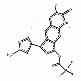 Cn1cc(-c2nn(OC(=O)C(F)(F)F)c3cc4[nH]c(=O)c(Br)cc4cc23)cn1